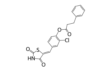 O=C(CCc1ccccc1)Oc1ccc(/C=C2\SC(=O)NC2=O)cc1Cl